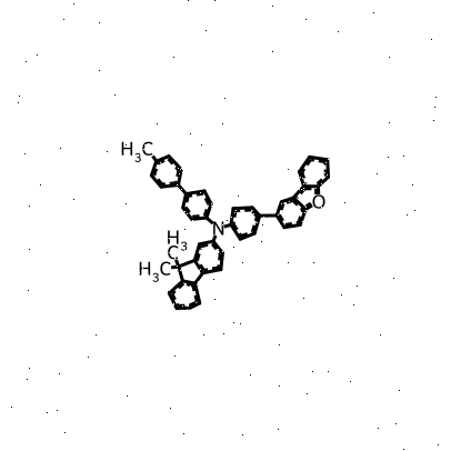 Cc1ccc(-c2ccc(N(c3ccc(-c4ccc5oc6ccccc6c5c4)cc3)c3ccc4c(c3)C(C)(C)c3ccccc3-4)cc2)cc1